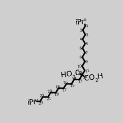 CC(C)CCCCCCCCCCCC(CCCCCCCCCCCC(C)C)(C(=O)O)C(=O)O